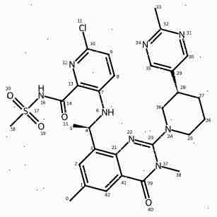 Cc1cc([C@@H](C)Nc2ccc(Cl)nc2C(=O)NS(C)(=O)=O)c2nc(N3CCC[C@H](c4cnc(C)nc4)C3)n(C)c(=O)c2c1